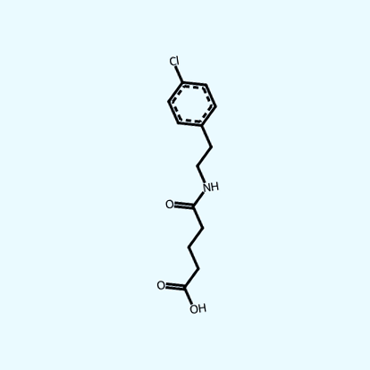 O=C(O)CCCC(=O)NCCc1ccc(Cl)cc1